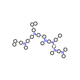 C1=CC(N(c2ccc(-c3ccccc3)cc2)c2ccc(N(c3ccccc3)c3cccc(-c4ccc(N(c5ccc(-c6ccc(N(c7ccccc7)c7ccc(-c8cccc9ccccc89)cc7)cc6)cc5)c5ccc(-c6cccc7ccccc67)cc5)cc4)c3)cc2)CC=C1N(c1ccccc1)c1ccc(N(c2ccccc2)c2ccccc2)cc1